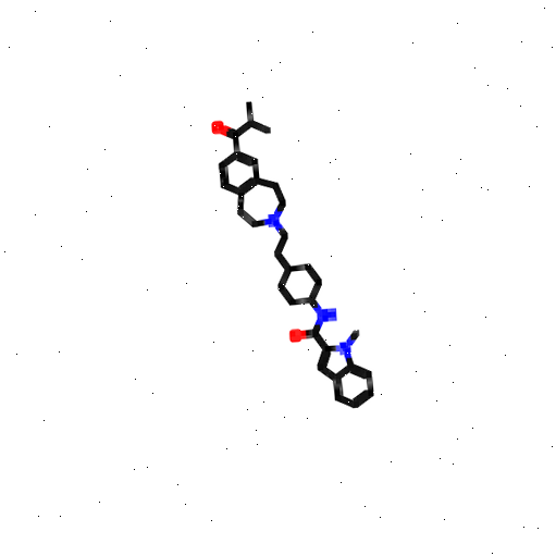 CC(C)C(=O)c1ccc2c(c1)CCN(CCC1CCC(NC(=O)c3cc4ccccc4n3C)CC1)CC2